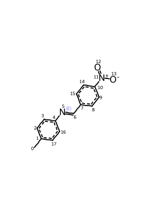 Cc1ccc(/N=C/c2ccc([N+](=O)[O-])cc2)cc1